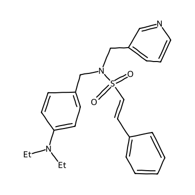 CCN(CC)c1ccc(CN(Cc2cccnc2)S(=O)(=O)C=Cc2ccccc2)cc1